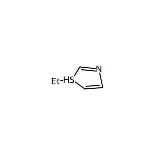 CC[SH]1C=CN=C1